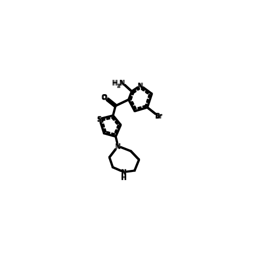 Nc1ncc(Br)cc1C(=O)c1cc(N2CCCNCC2)cs1